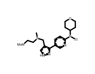 CCN(c1ccc(-c2n[nH]cc2CN(C)CCNC)cn1)C1CCOCC1